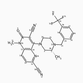 C[C@@H]1CN(c2c(C#N)c(=O)n(C)c3ccc(C#N)nc23)CCN1Cc1cccc(C(F)(F)F)c1